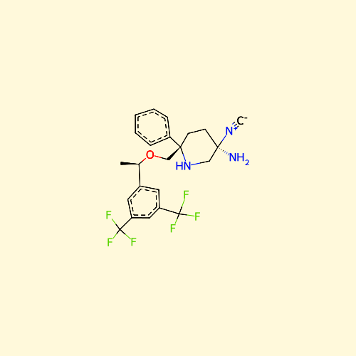 [C-]#[N+][C@]1(N)CC[C@@](CO[C@H](C)c2cc(C(F)(F)F)cc(C(F)(F)F)c2)(c2ccccc2)NC1